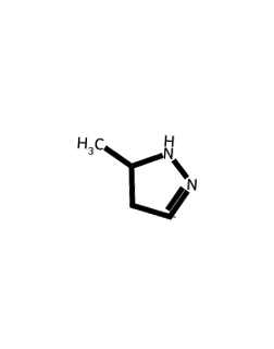 CC1C[C]=NN1